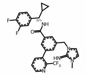 Cn1ccn(Cc2cc(C(=O)N[C@H](c3ccc(F)c(F)c3)C3CC3)cc(-c3cccnc3C(F)(F)F)c2)c1=N